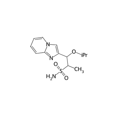 CC(C)OC(c1cn2ccccc2n1)C(C)S(N)(=O)=O